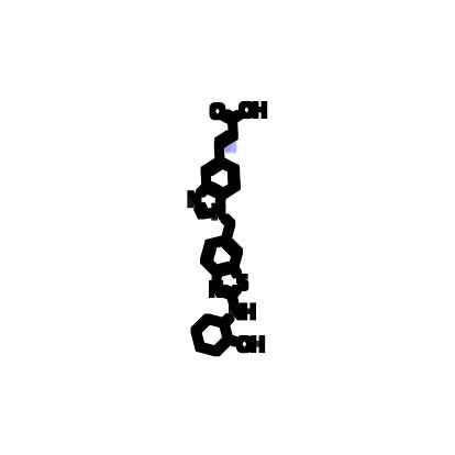 O=C(O)/C=C/c1ccc2c(c1)ncn2Cc1ccc2nc(NC3CCCCC3O)sc2c1